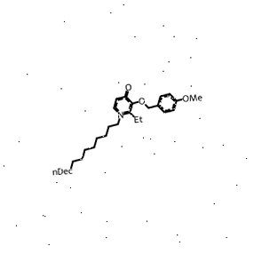 CCCCCCCCCCCCCCCCCCn1ccc(=O)c(OCc2ccc(OC)cc2)c1CC